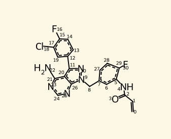 C=CC(=O)Nc1cc(Cn2nc(-c3ccc(F)c(Cl)c3)c3c(N)ncnc32)ccc1F